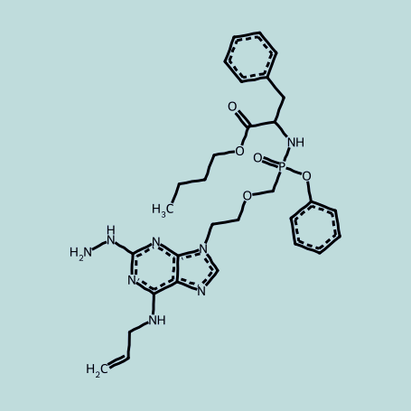 C=CCNc1nc(NN)nc2c1ncn2CCOCP(=O)(NC(Cc1ccccc1)C(=O)OCCCC)Oc1ccccc1